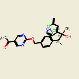 C=C(Cl)/C=C(\C=C/N)[C@](O)([C@H](C)c1ccc(COc2ncc(C(=O)OC)cn2)cc1Cl)C(F)(F)F